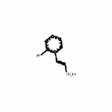 CCCc1ccccc1/C=C/C(=O)OCC